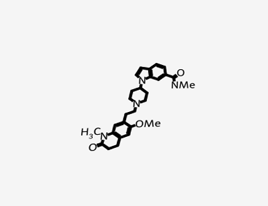 CNC(=O)c1ccc2ccn(C3CCN(CCc4cc5c(cc4OC)CCC(=O)N5C)CC3)c2c1